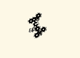 C=C(/C=C\C(=C)c1c2ccccc2cc2c1oc1ccccc12)c1ccc(-n2c(-c3ccccc3)nc3ccccc32)cc1OCC